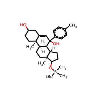 Cc1ccc(C2(O)C=C3CC(O)CC[C@]3(C)[C@@H]3CC[C@]4(C)C(O[Si](C)(C)C(C)(C)C)CC[C@H]4[C@@H]32)cc1